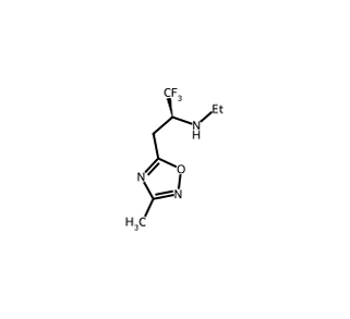 CCN[C@@H](Cc1nc(C)no1)C(F)(F)F